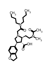 CCCCN(CCCC)C(=O)CN1C[C@H](c2ccc3c(c2)CCO3)[C@@H](C(=O)O)[C@@H]1CCN(C)C(C)=O